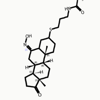 C[C@]12CCC(SCCCNC(=O)C(F)(F)F)CC1/C(=N\O)C[C@@H]1[C@H]2CC[C@]2(C)C(=O)CC[C@@H]12